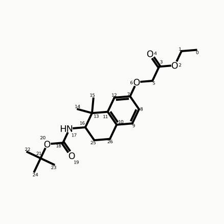 CCOC(=O)COc1ccc2c(c1)C(C)(C)C(NC(=O)OC(C)(C)C)CC2